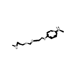 CNc1ccc(OCCOCOCCOC)cc1